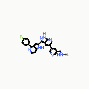 CCNCc1cncc(-c2cnc3[nH]nc(-c4cc5c(-c6ccc(F)cc6)nccc5[nH]4)c3c2)c1